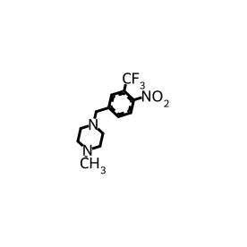 CN1CCN(Cc2ccc([N+](=O)[O-])c(C(F)(F)F)c2)CC1